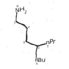 CCCCC(CCC)CCCN